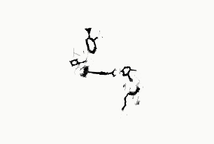 CNC(=O)C(CCC=O)N(C)C(=O)c1cc(N2CC(C#Cc3cnn(C4(C(=O)Nc5ccc(C#N)c(C6CC6)c5)CCC4)c3)C2)ccc1C=O